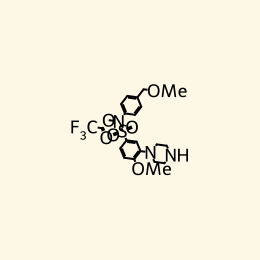 COCc1ccc(N(OC(=O)C(F)(F)F)S(=O)(=O)c2ccc(OC)c(N3CCNCC3)c2)cc1